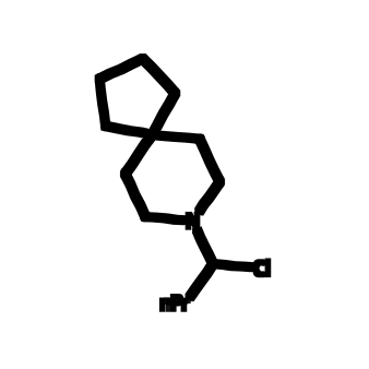 CCCC(Cl)N1CCC2(CCCC2)CC1